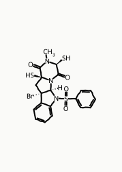 CN1C(=O)[C@@]2(S)C[C@]3(Br)c4ccccc4N(S(=O)(=O)c4ccccc4)[C@@H]3N2C(=O)[C@@H]1S